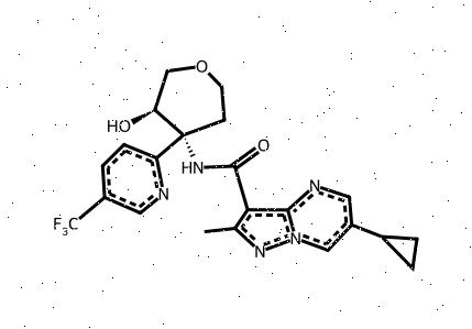 Cc1nn2cc(C3CC3)cnc2c1C(=O)N[C@@]1(c2ccc(C(F)(F)F)cn2)CCOC[C@@H]1O